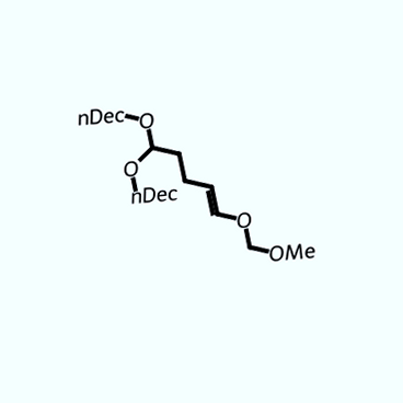 CCCCCCCCCCOC(CCC=COCOC)OCCCCCCCCCC